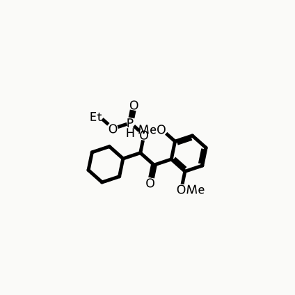 CCO[PH](=O)OC(C(=O)c1c(OC)cccc1OC)C1CCCCC1